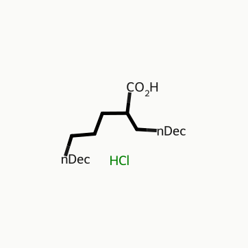 CCCCCCCCCCCCCC(CCCCCCCCCCC)C(=O)O.Cl